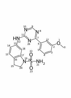 COc1cccc(-c2ncnc(Nc3ccc4c(c3)N(S(N)(=O)=O)CC4)n2)c1